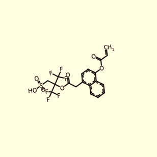 C=CC(=O)Oc1ccc(CC(=O)OC(CS(=O)(=O)O)(C(F)(F)F)C(F)(F)F)c2ccccc12